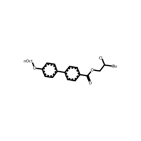 CCCCCCCCOc1ccc(-c2ccc(C(=O)OCC(Cl)C(C)CC)cc2)cc1